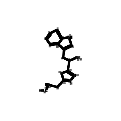 NC(Cc1c[nH]c2ccccc12)c1nnc(CNC(=O)O)o1